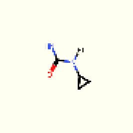 CCN(C([NH])=O)C1CC1